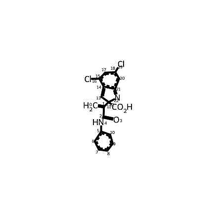 C=C(C(=O)Nc1ccccc1)C1(C(=O)O)C=c2c(Cl)cc(Cl)cc2=N1